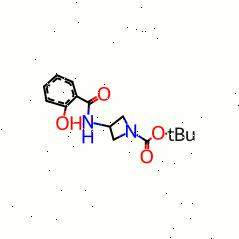 CC(C)(C)OC(=O)N1CC(NC(=O)c2ccccc2O)C1